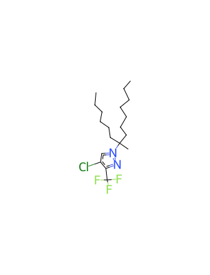 CCCCCCCC(C)(CCCCCC)n1cc(Cl)c(C(F)(F)F)n1